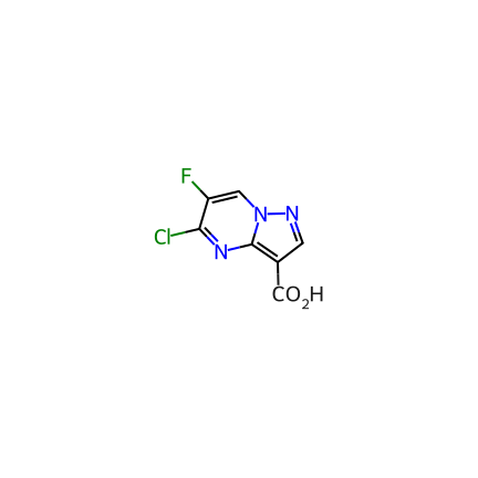 O=C(O)c1cnn2cc(F)c(Cl)nc12